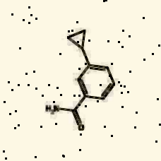 NC(=O)c1[c]c(C2CC2)ccc1